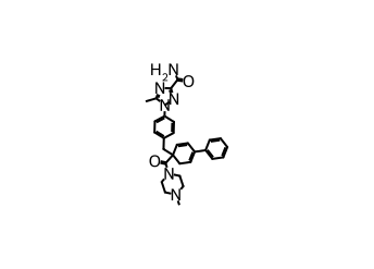 Cc1nc(C(N)=O)nn1-c1ccc(CC2(C(=O)N3CCN(C)CC3)C=CC(c3ccccc3)=CC2)cc1